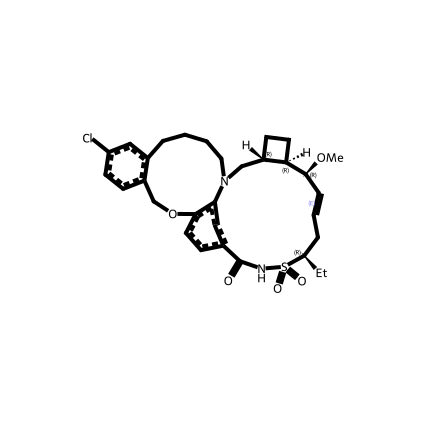 CC[C@@H]1C/C=C/[C@H](OC)[C@@H]2CC[C@H]2CN2CCCCc3cc(Cl)ccc3COc3ccc(cc32)C(=O)NS1(=O)=O